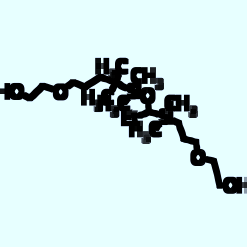 CCC(O[Si](C)(C)C(C)(C)CCCOCCO)[Si](C)(C)CCCOCCO